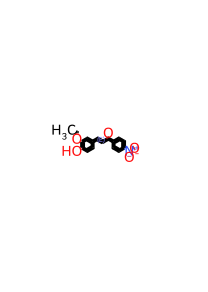 CCOc1cc(/C=C/C(=O)c2ccc([N+](=O)[O-])cc2)ccc1O